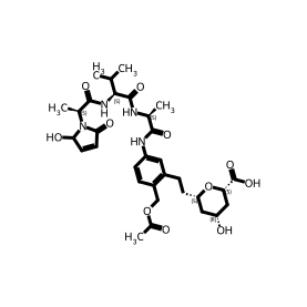 CC(=O)OCc1ccc(NC(=O)[C@H](C)NC(=O)[C@@H](NC(=O)[C@H](C)N2C(=O)C=CC2O)C(C)C)cc1CC[C@H]1C[C@@H](O)C[C@@H](C(=O)O)O1